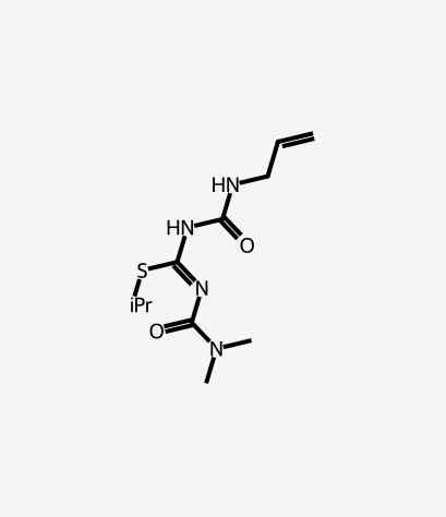 C=CCNC(=O)NC(=NC(=O)N(C)C)SC(C)C